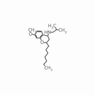 CCCCCCCC1CC(NCC(C)C)c2ccc(OC)cc2O1